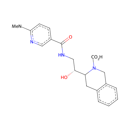 CNc1ccc(C(=O)NC[C@@H](O)C2Cc3ccccc3CN2C(=O)O)cn1